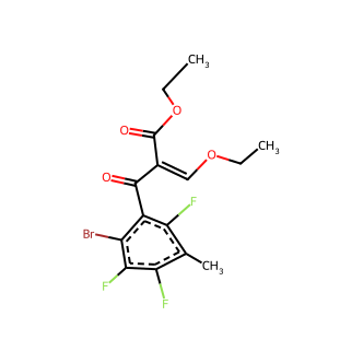 CCOC=C(C(=O)OCC)C(=O)c1c(F)c(C)c(F)c(F)c1Br